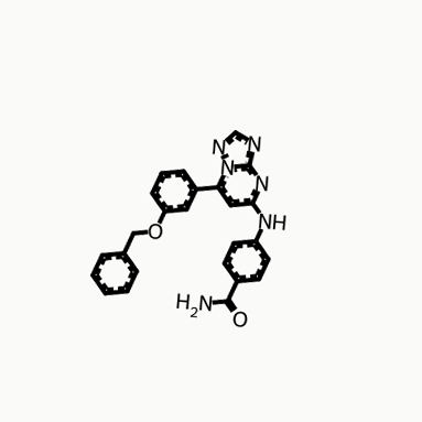 NC(=O)c1ccc(Nc2cc(-c3cccc(OCc4ccccc4)c3)n3ncnc3n2)cc1